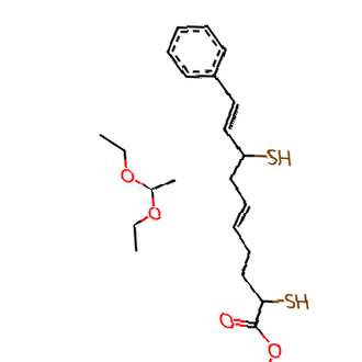 CCOC(C)OCC.COC(=O)C(S)CCC=CCC(S)C=Cc1ccccc1